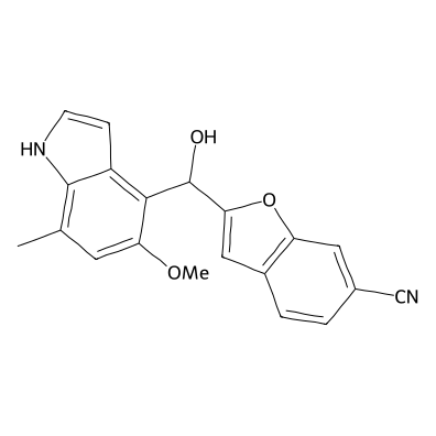 COc1cc(C)c2[nH]ccc2c1C(O)c1cc2ccc(C#N)cc2o1